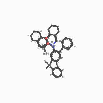 C=C(/C=C1/CCCC/C1=C/N(c1cc2c(cc1-c1ccccc1)-c1ccccc1C2(C)C)c1cc2c(cc1C(C)C)CCCC2)C(C)C